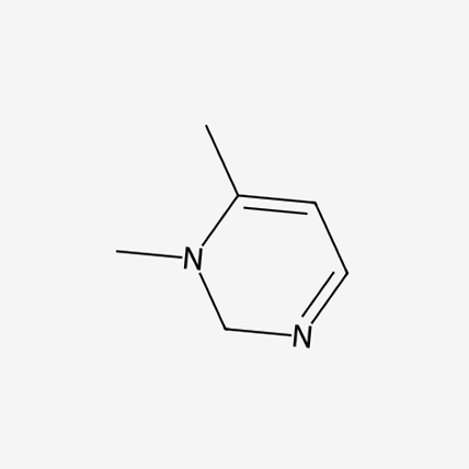 CC1=CC=NCN1C